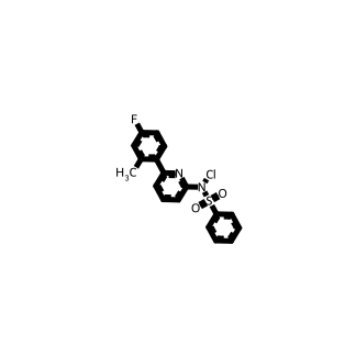 Cc1cc(F)ccc1-c1cccc(N(Cl)S(=O)(=O)c2ccccc2)n1